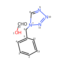 O=CO.c1ccc(Cn2cnnn2)cc1